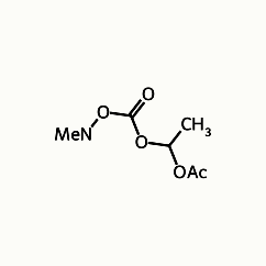 CNOC(=O)OC(C)OC(C)=O